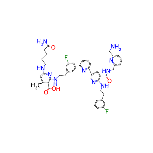 Cc1cc(NCCCCC(N)=O)nc(NCCc2cccc(F)c2)c1C(=O)O.NCc1cccc(CNC(=O)c2cc(-c3ccccn3)cnc2NCCc2cccc(F)c2)n1